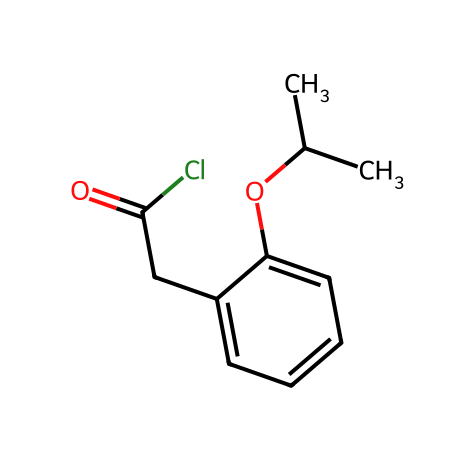 CC(C)Oc1ccccc1CC(=O)Cl